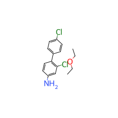 CCOCC.Nc1ccc(-c2ccc(Cl)cc2)c(Cl)c1